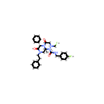 O=C1[C@H](c2ccccc2)N2C(=O)CN(CF)N(C(=O)NCc3ccc(F)cc3)[C@H]2CN1CCc1ccccc1